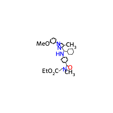 CCOC(=O)CCN(C)C(=O)c1ccc(NC(c2nn(-c3cccc(OC)c3)cc2C)C2CCCCC2)cc1